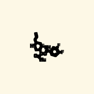 C=CCC1C[C@H](NC(=O)c2ccc(F)c(F)c2)[C@@H](OC(=O)C(C)(C)C)CN1